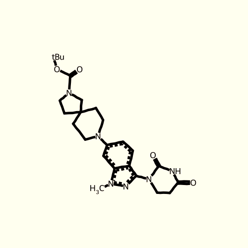 Cn1nc(N2CCC(=O)NC2=O)c2ccc(N3CCC4(CCN(C(=O)OC(C)(C)C)C4)CC3)cc21